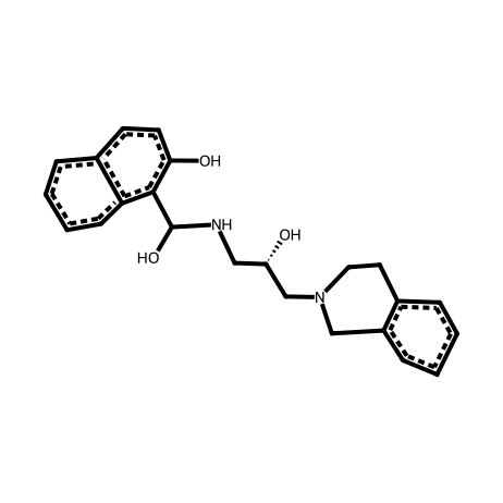 Oc1ccc2ccccc2c1C(O)NC[C@H](O)CN1CCc2ccccc2C1